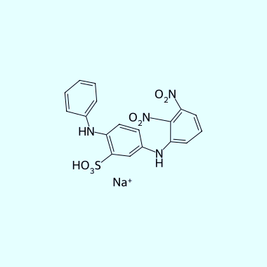 O=[N+]([O-])c1cccc(Nc2ccc(Nc3ccccc3)c(S(=O)(=O)O)c2)c1[N+](=O)[O-].[Na+]